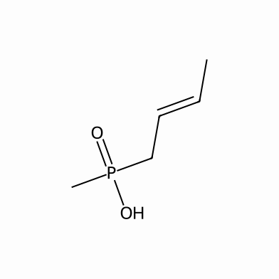 CC=CCP(C)(=O)O